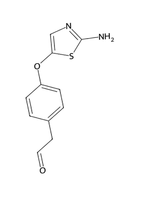 Nc1ncc(Oc2ccc(CC=O)cc2)s1